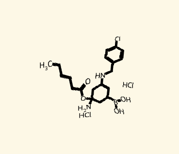 CCCCCC(=O)OC1(N)CC(NCc2ccc(Cl)cc2)CC(B(O)O)C1.Cl.Cl